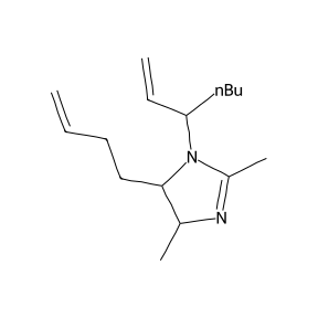 C=CCCC1C(C)N=C(C)N1C(C=C)CCCC